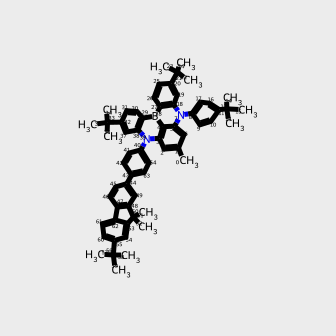 Cc1cc2c3c(c1)N(c1ccc(C(C)(C)C)cc1)c1cc(C(C)(C)C)ccc1B3c1ccc(C(C)(C)C)cc1N2c1ccc(-c2ccc3c(c2)C(C)(C)c2cc(C(C)(C)C)ccc2-3)cc1